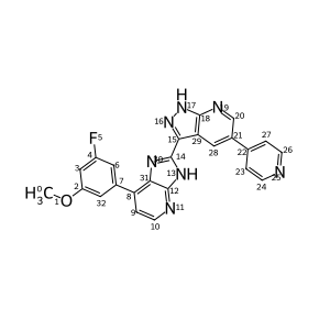 COc1cc(F)cc(-c2ccnc3[nH]c(-c4n[nH]c5ncc(-c6ccncc6)cc45)nc23)c1